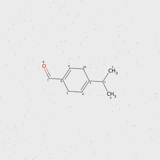 CC(C)C1=CCC(C=O)=CC1